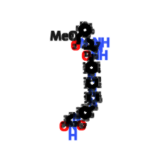 CO[C@@H](C(=O)N1Cc2[nH]nc(NC(=O)c3ccc(N4CCC(N5CCN(Cc6ccc(N7CCC(=O)NC7=O)cc6)CC5)CC4)cc3)c2C1)c1ccccc1